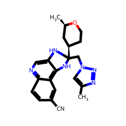 Cc1cn(CC2([C@@H]3CCO[C@H](C)C3)Nc3cnc4ccc(C#N)cc4c3N2)nn1